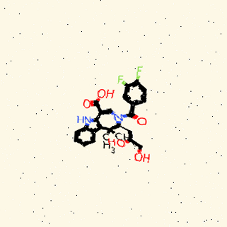 CC1(C)c2c([nH]c3ccccc23)C(C(=O)O)=CN(C(=O)c2ccc(F)c(F)c2)[C@H]1CC(O)CO